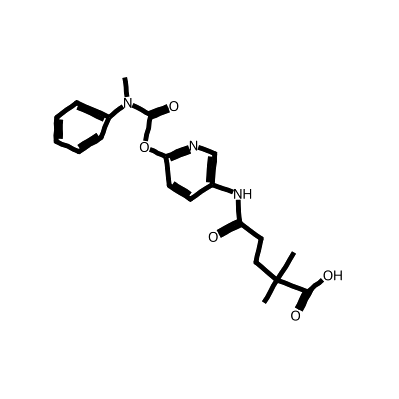 CN(C(=O)Oc1ccc(NC(=O)CCC(C)(C)C(=O)O)cn1)c1ccccc1